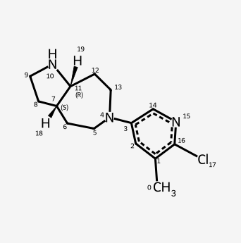 Cc1cc(N2CC[C@@H]3CCN[C@@H]3CC2)cnc1Cl